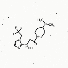 CN(C)C1CCN(C(=O)C[C@@H](O)c2nccn2CC(F)(F)F)CC1